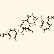 N#Cc1ccccc1CN1CCc2ncn(Cc3ccc(Cl)cc3)c(=O)c2C1